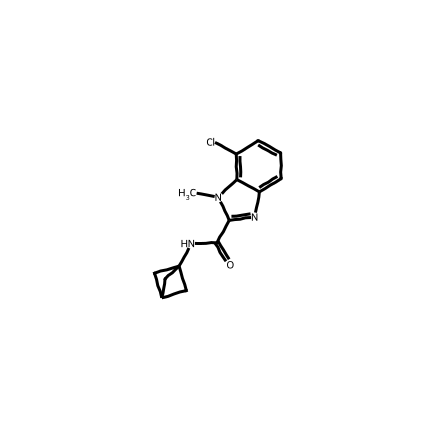 Cn1c(C(=O)NC23CC(C2)C3)nc2cccc(Cl)c21